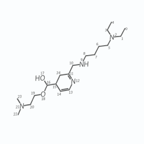 CCN(CC)CCCCNCC1=NC=CC(C(O)OCCN(C)C)C1